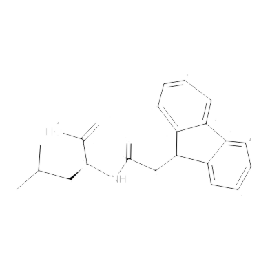 CC(C)C[C@H](NC(=O)CC1c2ccccc2-c2ccccc21)C(=O)O